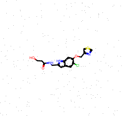 O=C(CCO)NCc1cc2cc(Cl)c(OCc3cscn3)cc2[nH]1